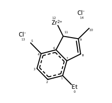 CCc1ccc(C)c2c1C=C(C)[CH]2[Zr+2].[Cl-].[Cl-]